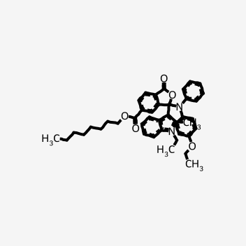 CCCCCCCCOC(=O)c1ccc2c(c1)C(c1c(C)n(CC)c3ccccc13)(N(c1ccccc1)c1ccc(OCC)cc1)OC2=O